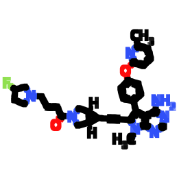 Cc1cccc(Oc2ccc(-c3c(C#CC4[C@H]5CN(C(=O)/C=C/CN6CCC(F)C6)C[C@@H]45)n(C)c4ncnc(N)c34)cc2)n1